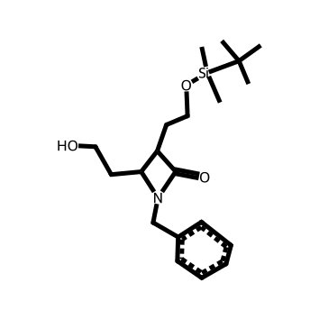 CC(C)(C)[Si](C)(C)OCCC1C(=O)N(Cc2ccccc2)C1CCO